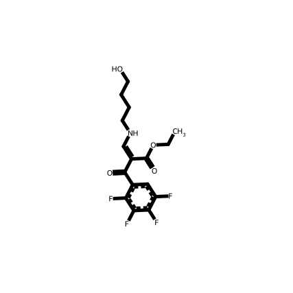 CCOC(=O)C(=CNCCCCO)C(=O)c1cc(F)c(F)c(F)c1F